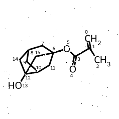 C=C(C)C(=O)OC12CC3CC(C1)C(O)(C3)C2